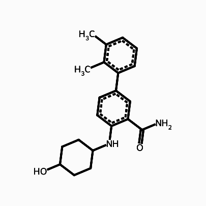 Cc1cccc(-c2ccc(NC3CCC(O)CC3)c(C(N)=O)c2)c1C